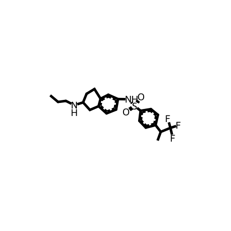 CCCNC1CCc2cc(NS(=O)(=O)c3ccc(C(C)C(F)(F)F)cc3)ccc2C1